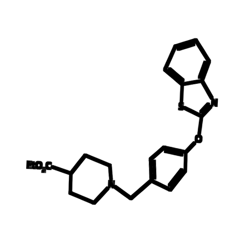 CCOC(=O)C1CCN(Cc2ccc(Oc3nc4ccccc4s3)cc2)CC1